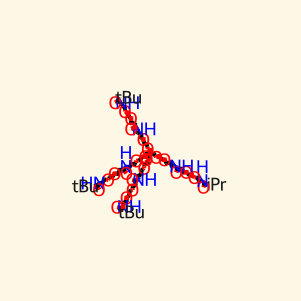 CC(C)C(=O)NCCOCCOCCC(=O)NCCCOCCOCC(COCCOCCCNC(=O)CCOCCOCCNC(=O)C(C)(C)C)(COCCOCCCNC(=O)CCOCCOCCNC(=O)C(C)(C)C)COCCOCCCNC(=O)CCOCCOCCNC(=O)C(C)(C)C